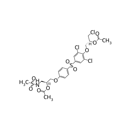 CC(=O)O[C@@H](CNS(C)(=O)=O)COc1ccc(S(=O)(=O)c2cc(Cl)c(OC[C@H](CCl)OC(C)=O)c(Cl)c2)cc1